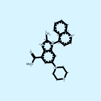 COC(=O)c1cc(N2CCOCC2)cc2c1nc(C)n2-c1ccnc2ccccc12